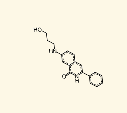 O=c1[nH]c(-c2ccccc2)cc2ccc(NCCCO)cc12